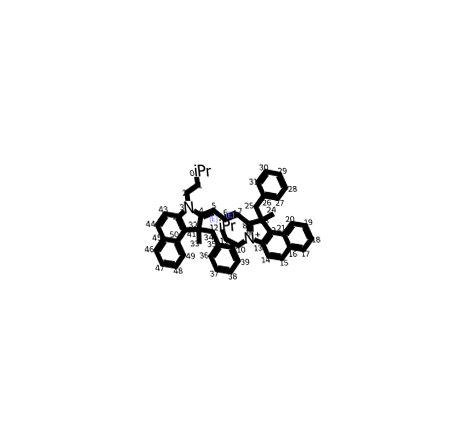 CC(C)CCN1/C(=C/C=C/C2=[N+](CCC(C)C)c3ccc4ccccc4c3C2(C)Cc2ccccc2)C(C)(Cc2ccccc2)c2c1ccc1ccccc21